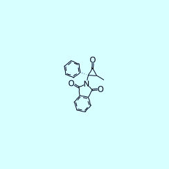 CC1C(=O)[C@]1(c1ccccc1)N1C(=O)c2ccccc2C1=O